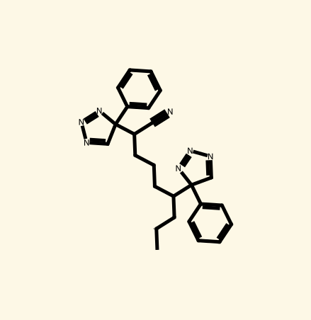 C[CH]CC(CCCC(C#N)C1(c2ccccc2)C=NN=N1)C1(c2ccccc2)C=NN=N1